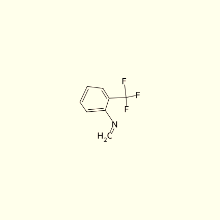 C=Nc1ccccc1C(F)(F)F